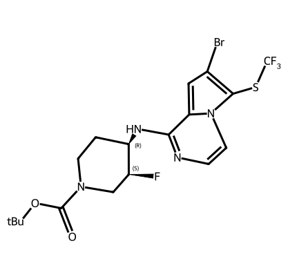 CC(C)(C)OC(=O)N1CC[C@@H](Nc2nccn3c(SC(F)(F)F)c(Br)cc23)[C@@H](F)C1